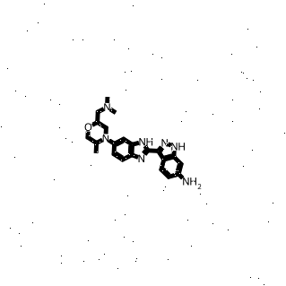 CC1COC(CN(C)C)CN1c1ccc2nc(-c3n[nH]c4cc(N)ccc34)[nH]c2c1